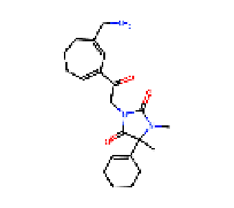 CN1C(=O)N(CC(=O)C2=CCCCC(CN)=C2)C(=O)C1(C)C1=CCCCC1